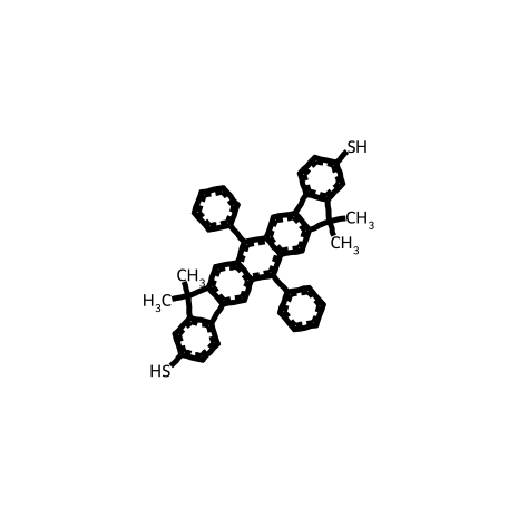 CC1(C)c2cc(S)ccc2-c2cc3c(-c4ccccc4)c4cc5c(cc4c(-c4ccccc4)c3cc21)-c1ccc(S)cc1C5(C)C